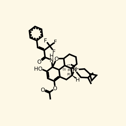 CC(=O)OC1=C2C[C@@H]3[C@@H]4CCCC5OC(NC(=O)C(=Cc6ccccc6)C(F)(F)F)(C(O)=C1)C2[C@@]54CC[N+]3(CC(C)C)CC1CC1